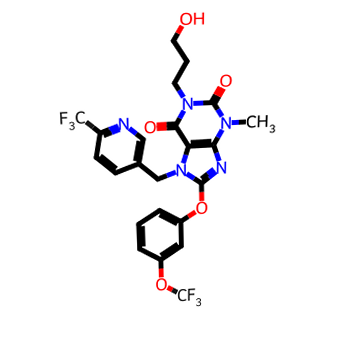 Cn1c(=O)n(CCCO)c(=O)c2c1nc(Oc1cccc(OC(F)(F)F)c1)n2Cc1ccc(C(F)(F)F)nc1